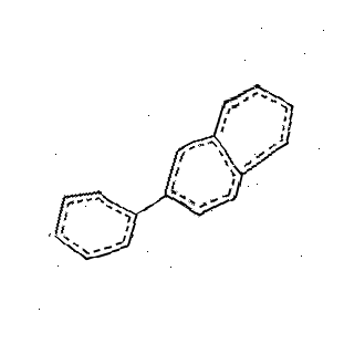 [c]1ccc(-c2ccc3ccccc3c2)cc1